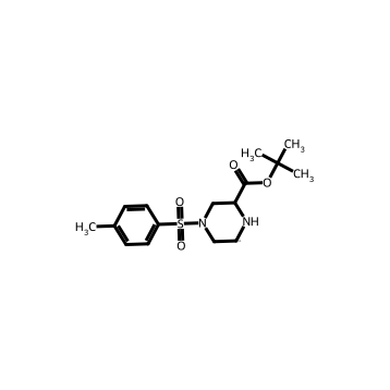 Cc1ccc(S(=O)(=O)N2C[CH]NC(C(=O)OC(C)(C)C)C2)cc1